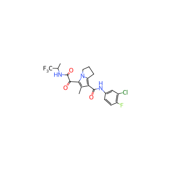 Cc1c(C(=O)Nc2ccc(F)c(Cl)c2)c2n(c1C(=O)C(=O)NC(C)C(F)(F)F)CCC2